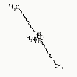 CCCCCCCCC=CCCCCCCCC(=O)C(C(=O)CCCCCCCC=CCCCCCCCC)N(C)C